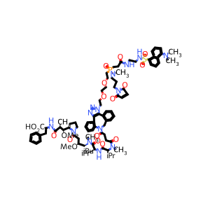 CC[C@H](C)[C@@H]([C@@H](CC(=O)N1CCC[C@H]1[C@H](OC)[C@@H](C)C(=O)N[C@@H](Cc1ccccc1)C(=O)O)OC)N(C)C(=O)[C@@H](NC(=O)[C@H](C(C)C)N(C)C(=O)CCC(=O)N1Cc2ccccc2-c2c(nnn2CCOCCOCCP(=O)(CCC(=O)NCCNS(=O)(=O)c2cccc3c(N(C)C)cccc23)N(C)CCCN2C(=O)C=CC2=O)-c2ccccc21)C(C)C